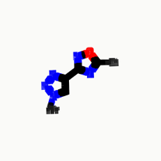 CCCn1cc(-c2noc(CC)n2)nn1